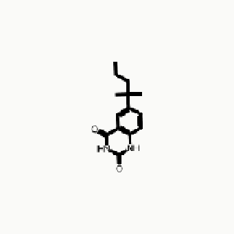 CCCC(C)(C)c1ccc2[nH]c(=O)[nH]c(=O)c2c1